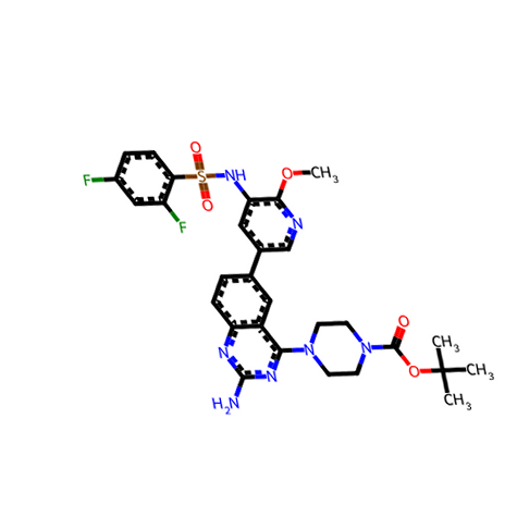 COc1ncc(-c2ccc3nc(N)nc(N4CCN(C(=O)OC(C)(C)C)CC4)c3c2)cc1NS(=O)(=O)c1ccc(F)cc1F